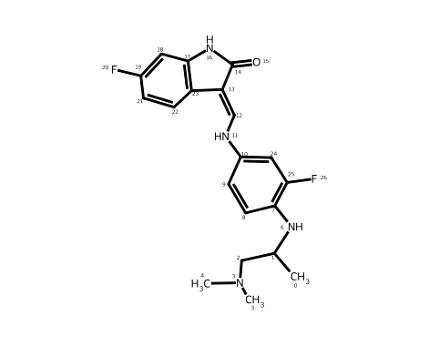 CC(CN(C)C)Nc1ccc(N/C=C2/C(=O)Nc3cc(F)ccc32)cc1F